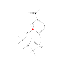 CCS(=O)(=O)C(F)(F)C(F)(F)C(F)(F)S(=O)(=O)Oc1ccc(C(=O)O)cc1